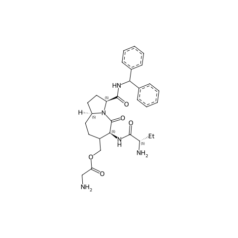 CC[C@H](N)C(=O)N[C@@H]1C(=O)N2[C@@H](CCC1COC(=O)CN)CC[C@H]2C(=O)NC(c1ccccc1)c1ccccc1